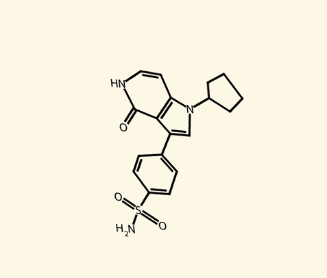 NS(=O)(=O)c1ccc(-c2cn(C3CCCC3)c3cc[nH]c(=O)c23)cc1